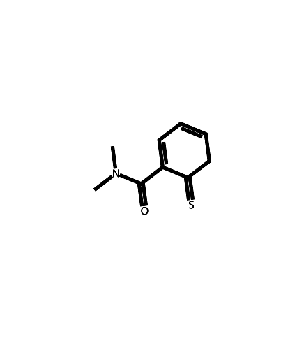 CN(C)C(=O)C1=CC=CCC1=S